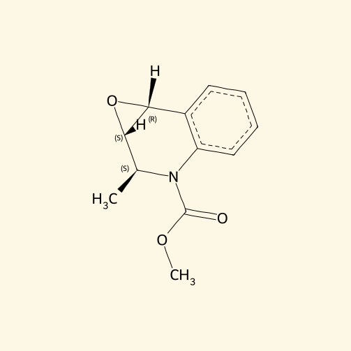 COC(=O)N1c2ccccc2[C@H]2O[C@H]2[C@@H]1C